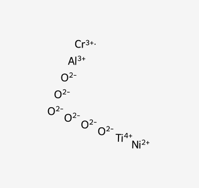 [Al+3].[Cr+3].[Ni+2].[O-2].[O-2].[O-2].[O-2].[O-2].[O-2].[Ti+4]